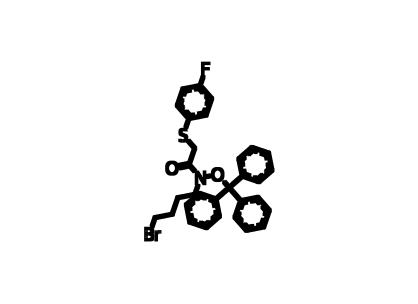 O=C(CSc1ccc(F)cc1)N(CCCCBr)OC(c1ccccc1)(c1ccccc1)c1ccccc1